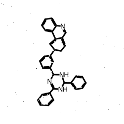 C1=c2cnc3ccccc3c2=CC(c2cccc(C3N=C(c4ccccc4)NC(c4ccccc4)N3)c2)C1